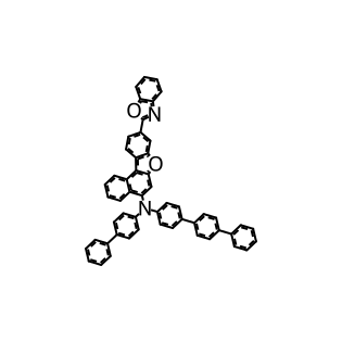 c1ccc(-c2ccc(-c3ccc(N(c4ccc(-c5ccccc5)cc4)c4cc5oc6cc(-c7nc8ccccc8o7)ccc6c5c5ccccc45)cc3)cc2)cc1